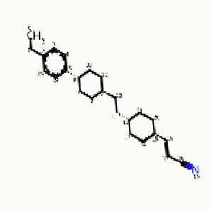 CCc1ccc([C@H]2CC[C@H](CC[C@H]3CC[C@H](C=CC#N)CC3)CC2)cc1